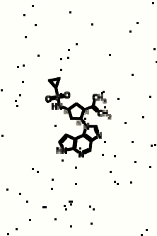 C=C(C)[C@@H]1C[C@H](NS(=O)(=O)C2CC2)C[C@@H]1n1cnc2cnc3[nH]ccc3c21